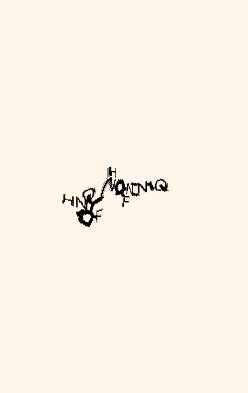 COCCN1CCN(c2ccc(NC=C3C(=O)Nc4cccc(F)c43)cc2F)CC1